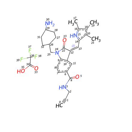 C#CCNC(=O)c1ccc2c(c1)/C(=C/c1[nH]c(C)c(C)c1C)C(=O)N2CC1CCC(N)CC1.O=C(O)C(F)(F)F